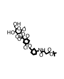 COc1cc(OCc2cccc(NC(=O)CCC(=O)OC(C)(C)C)c2)c(Cl)cc1C(=O)O[C@H]1[C@@H](OC)O[C@H](CO)[C@@H](O)[C@@H]1O